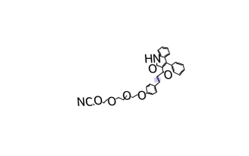 N#CCOCCOCCOCCOc1ccc(/C=C/C(=O)c2c(-c3ccccc3)c3ccccc3[nH]c2=O)cc1